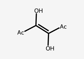 CC(=O)C(O)=C(O)C(C)=O